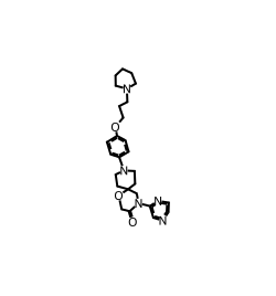 O=C1COC2(CCN(c3ccc(OCCCN4CCCCC4)cc3)CC2)CN1c1cnccn1